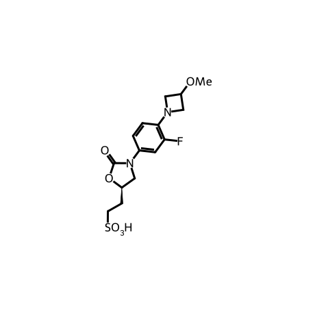 COC1CN(c2ccc(N3C[C@@H](CCS(=O)(=O)O)OC3=O)cc2F)C1